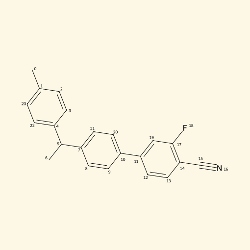 Cc1ccc(C(C)c2ccc(-c3ccc(C#N)c(F)c3)cc2)cc1